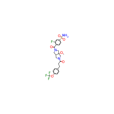 COC12CN(C(=O)CCc3ccc(OC(F)(F)F)cc3)CC1CN(C(=O)c1ccc(S(N)(=O)=O)cc1F)C2